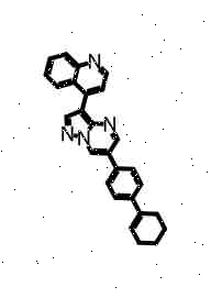 C1=C(c2ccc(-c3cnc4c(-c5ccnc6ccccc56)cnn4c3)cc2)CCCC1